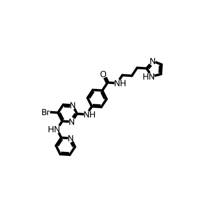 O=C(NCCCc1ncc[nH]1)c1ccc(Nc2ncc(Br)c(Nc3ccccn3)n2)cc1